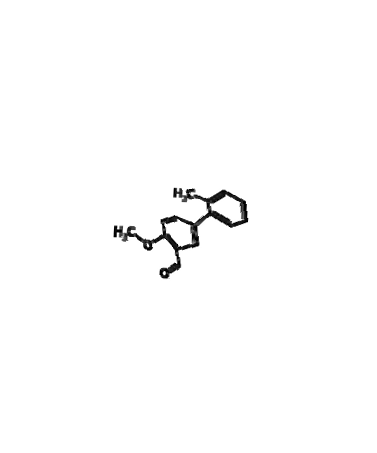 COc1ccc(-c2ccccc2C)cc1C=O